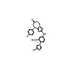 COc1cc(Nc2nc3n(n2)CCC(=O)C[C@@H]3c2ccc(F)cc2)ccc1-n1cnc(Cl)c1